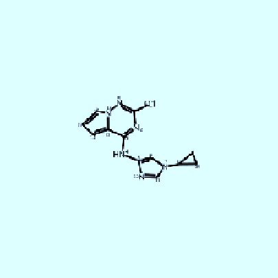 Clc1nc(Nc2cn(C3CC3)cn2)c2cccn2n1